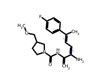 C=C(NC(=O)N1CCC(COC)C1)/C(N)=C\C=C(/C)c1ccc(F)cc1